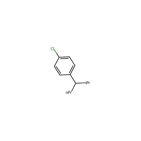 CCCC(c1ccc(Cl)cc1)C(C)C